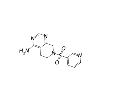 Nc1ncnc2c1CCN(S(=O)(=O)c1cccnc1)C2